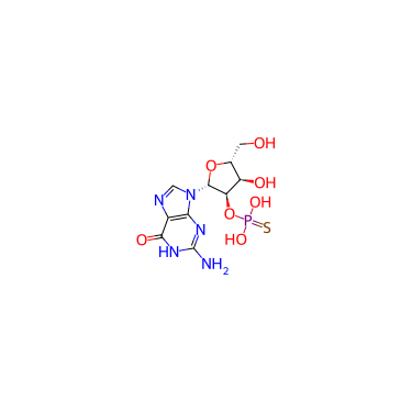 Nc1nc2c(ncn2[C@@H]2O[C@H](CO)[C@@H](O)[C@H]2OP(O)(O)=S)c(=O)[nH]1